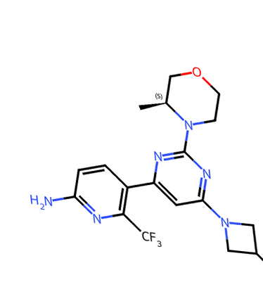 C[C@H]1COCCN1c1nc(-c2ccc(N)nc2C(F)(F)F)cc(N2CC(F)C2)n1